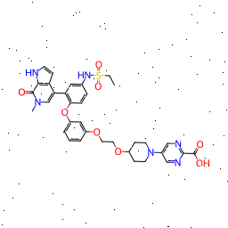 CCS(=O)(=O)Nc1ccc(Oc2cccc(OCCOC3CCN(c4cnc(C(=O)O)nc4)CC3)c2)c(-c2cn(C)c(=O)c3[nH]ccc23)c1